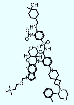 Cc1ccccc1[C@@H]1COCCN1C1CC2(CCN(c3ccc(C(=O)NS(=O)(=O)c4ccc(NCC5CCC(C)(O)CC5)c([N+](=O)[O-])c4)c(N4c5cc6ccn(COCC[Si](C)(C)C)c6nc5O[C@H]5COCC[C@@H]54)c3)CC2)C1